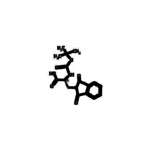 CC(C)(C)OC(=O)N[C@H](CN1C(=O)c2ccccc2C1=O)C(=O)O